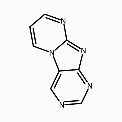 c1cnc2nc3ncncc3n2c1